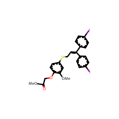 COC(=O)COc1ccc(SCC=C(c2ccc(I)cc2)c2ccc(I)cc2)cc1OC